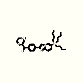 CCC[CH2][Sn]([CH2]CCC)([CH2]CCC)[c]1ccc2nc(-c3ccc(C(=O)C4=CNCC=N4)cc3)cn2c1